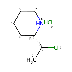 CC(Cl)[C@@H]1CCCCN1.Cl